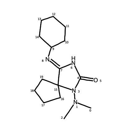 CN(C)N1C(=O)NC(=NC2CCCCC2)C12CCCC2